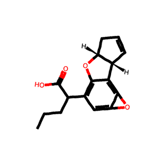 CCCC(C(=O)O)c1cc2c(c3c1O[C@@H]1CC=C[C@H]31)O2